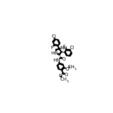 COC(=O)c1ccc(NC(=O)[C@@H]2NC[C@](N)(c3ccc(Cl)cc3F)[C@H]2c2cccc(Cl)c2F)cc1OC